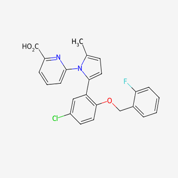 Cc1ccc(-c2cc(Cl)ccc2OCc2ccccc2F)n1-c1cccc(C(=O)O)n1